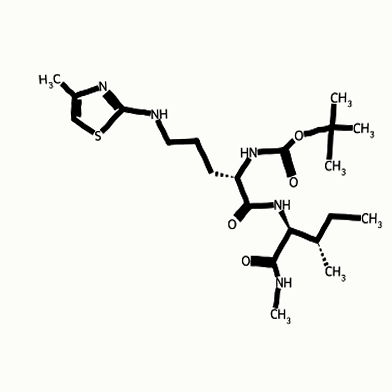 CC[C@H](C)[C@H](NC(=O)[C@H](CCCNc1nc(C)cs1)NC(=O)OC(C)(C)C)C(=O)NC